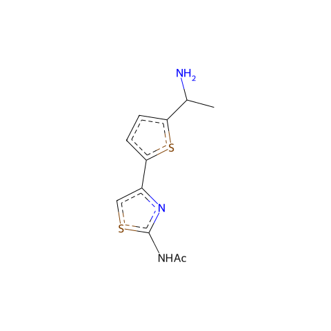 CC(=O)Nc1nc(-c2ccc(C(C)N)s2)cs1